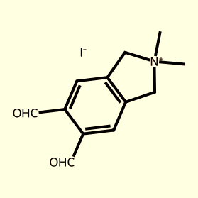 C[N+]1(C)Cc2cc(C=O)c(C=O)cc2C1.[I-]